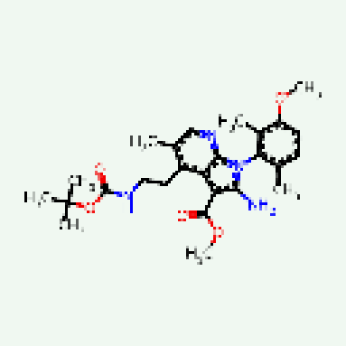 COC(=O)c1c(N)n(-c2c(C)ccc(OC)c2C)c2ncc(C)c(CCNC(=O)OC(C)(C)C)c12